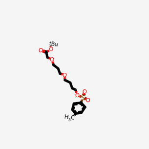 Cc1ccc(S(=O)(=O)OCCCCOCCCOCC(=O)OC(C)(C)C)cc1